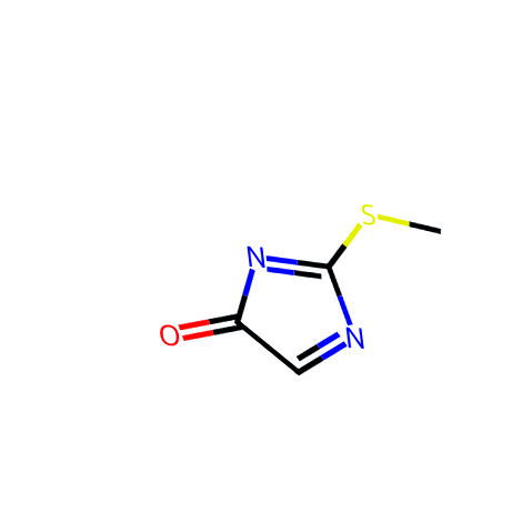 CSC1=NC(=O)C=N1